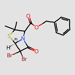 CC1(C)S[C@H]2N(C(=O)C2(Br)Br)C1C(=O)OCc1ccccc1